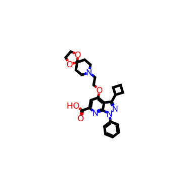 O=C(O)c1cc(OCCN2CCC3(CC2)OCCO3)c2c(C3CCC3)nn(-c3ccccc3)c2n1